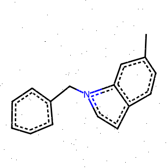 Cc1ccc2ccn(Cc3ccccc3)c2c1